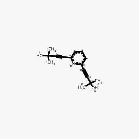 CC(C)(O)C#Cc1cccc(C#CC(C)(C)O)n1